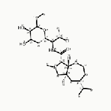 CSC1O[C@H]([C@H](NC(=O)[C@@H]2[C@@H]3OCC[C@H](C(C)C)C[C@H]3CN2C)[C@H](C)Cl)CC(O)[C@H]1O